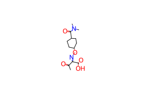 CC(=O)C(=NOC1CCC(C(=O)N(C)C)CC1)C(=O)O